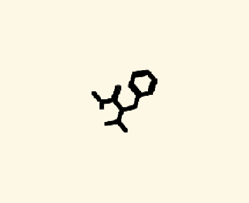 CNC(=O)C(Cc1ccccc1)C(C)C